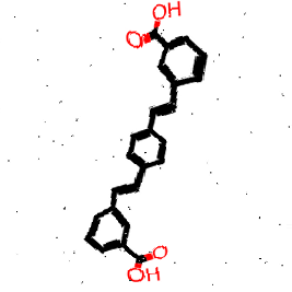 O=C(O)c1cccc(/C=C/c2ccc(/C=C/c3cccc(C(=O)O)c3)cc2)c1